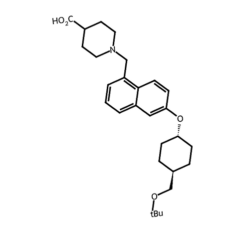 CC(C)(C)OC[C@H]1CC[C@H](Oc2ccc3c(CN4CCC(C(=O)O)CC4)cccc3c2)CC1